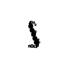 C=CC1CCC(C2CCC(c3ccc(-c4ccc(-c5ccc(OCCCCCCCC)c(F)c5F)cc4)cc3F)CC2)CC1